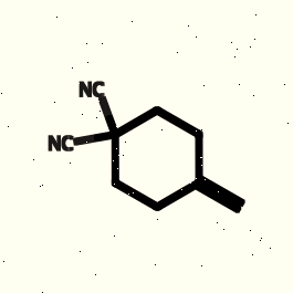 C=C1CCC(C#N)(C#N)CC1